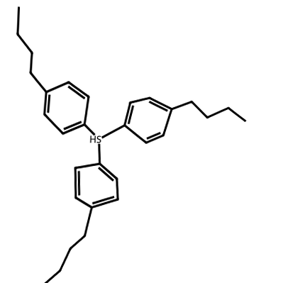 CCCCc1ccc([SH](c2ccc(CCCC)cc2)c2ccc(CCCC)cc2)cc1